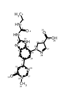 CCNC(=O)Nc1nc2cc(-c3cc(=O)n(C)cn3)cc(N3CC(C(=O)O)C=N3)c2[nH]1